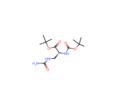 CC(C)(C)OC(=O)N[C@@H](CNC(N)=O)C(=O)OC(C)(C)C